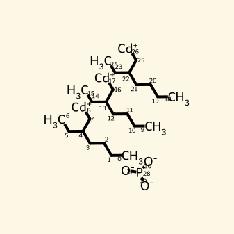 CCCCC(CC)[CH2][Cd+].CCCCC(CC)[CH2][Cd+].CCCCC(CC)[CH2][Cd+].[O-]P([O-])[O-]